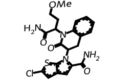 COCCC(C(N)=O)N1C(=O)C(n2c(C(N)=O)cc3cc(Cl)sc32)Cc2ccccc21